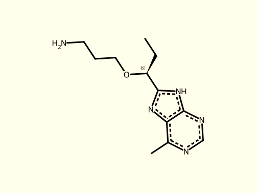 CC[C@H](OCCCN)c1nc2c(C)ncnc2[nH]1